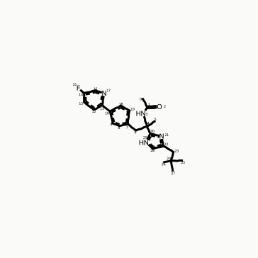 CC(=O)NC(C)(Cc1ccc(-c2ccc(F)cn2)cc1)c1nc(CC(C)(C)C)c[nH]1